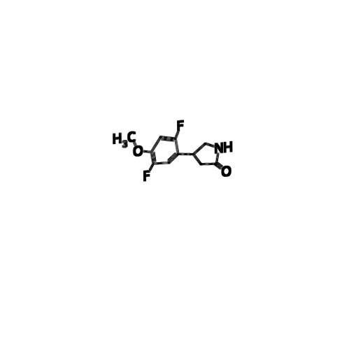 COc1cc(F)c(C2CNC(=O)C2)cc1F